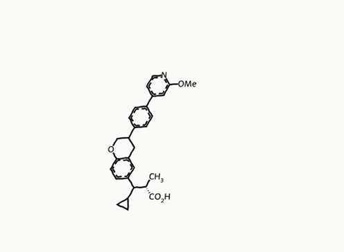 COc1cc(-c2ccc(C3COc4ccc(C(C5CC5)[C@H](C)C(=O)O)cc4C3)cc2)ccn1